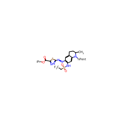 CCCCCN1c2cc(NS(=O)(=O)CC(F)(F)F)c(N=Nc3nnc(C(=O)OC(C)C)s3)cc2CCC1C